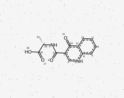 C[C@H](NC(=O)c1c[nH]c2ccccc2c1=O)C(=O)O